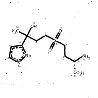 N[C@@H](CCS(=O)(=O)CCC(O)(c1ccsn1)C(F)(F)F)C(=O)O